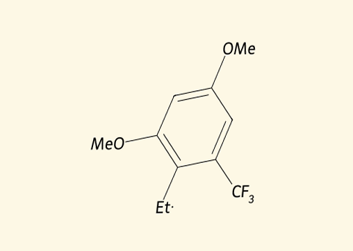 C[CH]c1c(OC)cc(OC)cc1C(F)(F)F